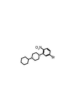 O=[N+]([O-])c1ccc(Br)cc1N1CCN(C2CCCCC2)CC1